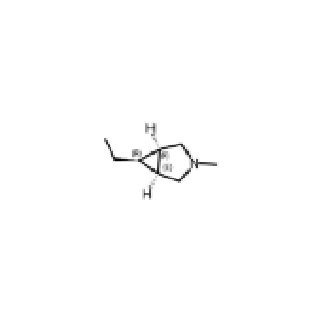 CC[C@H]1[C@H]2CN(C)C[C@@H]12